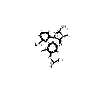 Cc1cc([C@]2(c3cccc(Br)c3)N=C(N)N(C)C2=O)ccc1OC(F)F